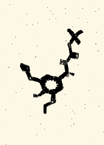 CCOc1cc([C@@H](C)NC(=O)OC(C)(C)C)cc(OCC)c1Br